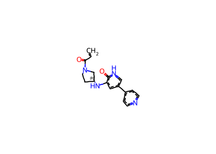 C=CC(=O)N1CC[C@@H](Nc2cc(-c3ccncc3)c[nH]c2=O)C1